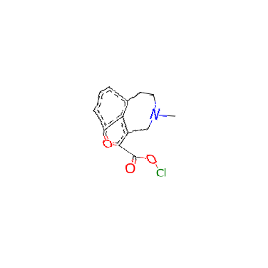 CN1CCc2cccc3oc(C(=O)OCl)c(c23)C1